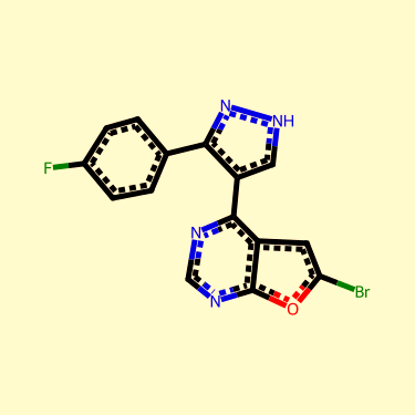 Fc1ccc(-c2n[nH]cc2-c2ncnc3oc(Br)cc23)cc1